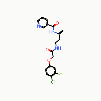 C=C(CCNC(=O)COc1ccc(Cl)c(F)c1)NC(=O)c1cccnc1